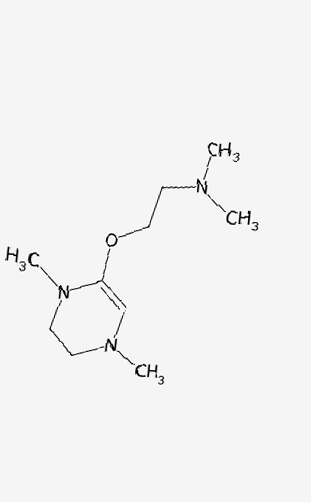 CN(C)CCOC1=CN(C)CCN1C